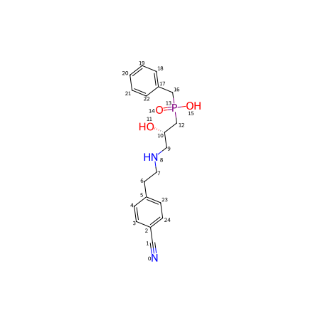 N#Cc1ccc(CCNC[C@H](O)CP(=O)(O)Cc2ccccc2)cc1